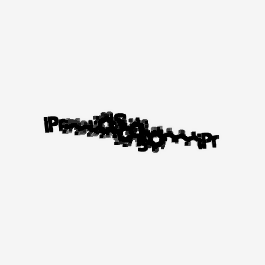 CC(C)CCCCCc1ccc2sc3c(ccc4c3ccc3c5cc(CCCCCC(C)C)ccc5sc34)c2c1